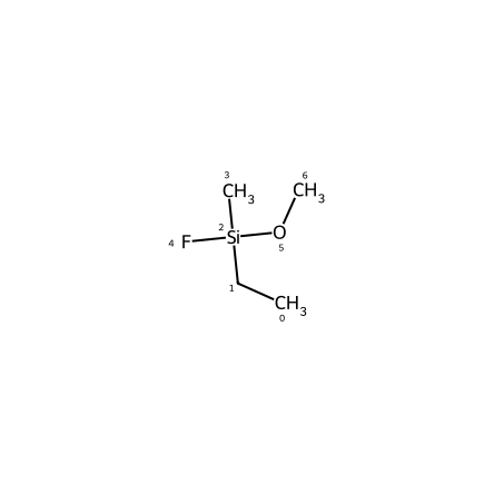 CC[Si](C)(F)OC